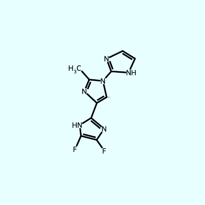 Cc1nc(-c2nc(F)c(F)[nH]2)[c]n1-c1ncc[nH]1